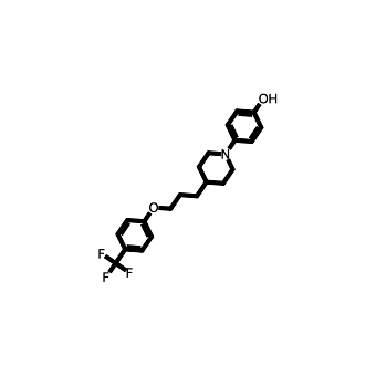 Oc1ccc(N2CCC(CCCOc3ccc(C(F)(F)F)cc3)CC2)cc1